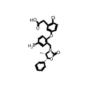 Bc1ccc(Oc2ccc(Cl)c(CC(=O)O)c2)c(CN2C(=O)O[C@H](c3ccccc3)[C@@H]2C)c1